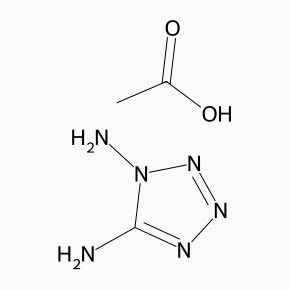 CC(=O)O.Nc1nnnn1N